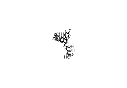 CC(C)C1(c2ccc(F)cc2)NC(N(C)S(C)(=O)=O)=NC=C1C=C[C@@H](O)C[C@@H](O)CC(=O)O